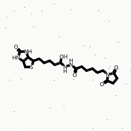 O=C(CCCCCN1C(=O)CCC1=O)NNC(O)CCCCC1SCC2NC(=O)NC21